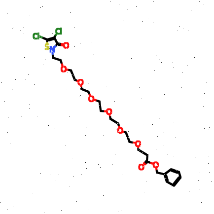 O=C(CCOCCOCCOCCOCCOCCOCCn1sc(Cl)c(Cl)c1=O)OCc1ccccc1